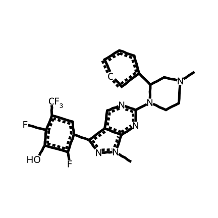 CN1CCN(c2ncc3c(-c4cc(C(F)(F)F)c(F)c(O)c4F)nn(C)c3n2)C(c2ccccc2)C1